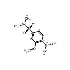 COc1cc(S(=O)(=O)N(C)C)cnc1[N+](=O)[O-]